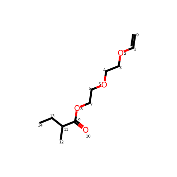 C=COCCOCCOC(=O)C(C)CC